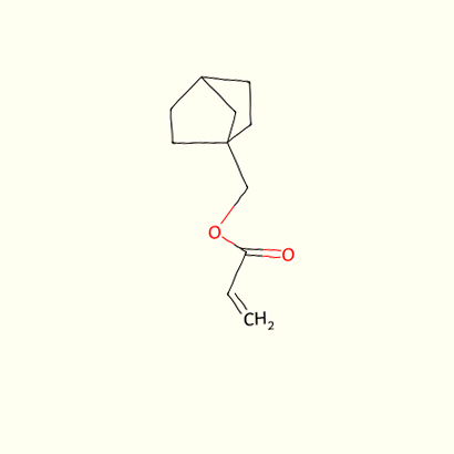 C=CC(=O)OCC12CCC(CC1)C2